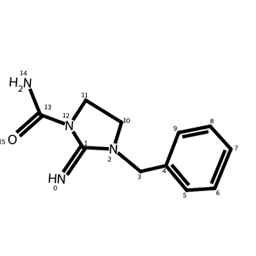 N=C1N(Cc2ccccc2)CCN1C(N)=O